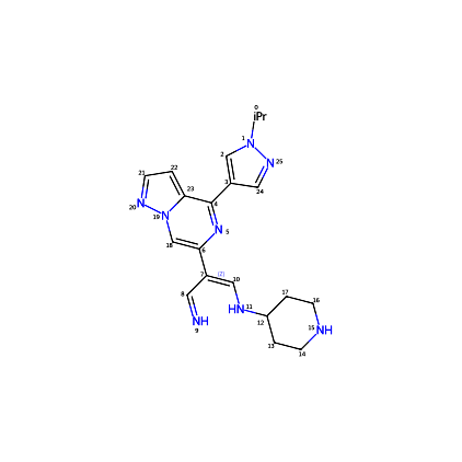 CC(C)n1cc(-c2nc(/C(C=N)=C/NC3CCNCC3)cn3nccc23)cn1